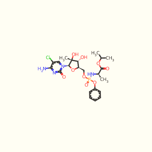 CC(C)OC(=O)[C@@H](C)N[P@](=O)(OC[C@H]1O[C@@H](n2cc(Cl)c(N)nc2=O)[C@](C)(O)[C@@H]1O)Oc1ccccc1